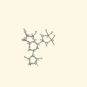 Cc1noc(C)c1-c1cc(B2OC(C)(C)C(C)(C)O2)c2c(c1)[nH]c(=O)n2C